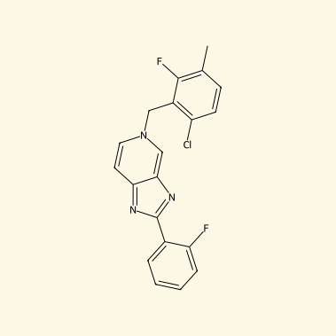 Cc1ccc(Cl)c(Cn2ccc3nc(-c4ccccc4F)nc-3c2)c1F